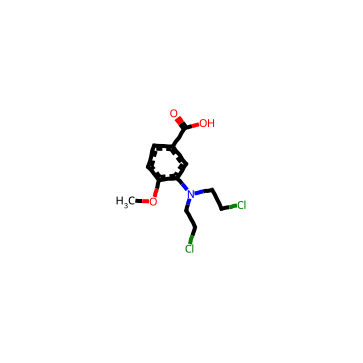 COc1ccc(C(=O)O)cc1N(CCCl)CCCl